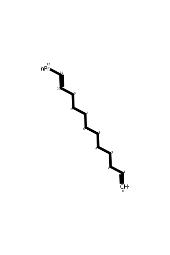 [CH]=CCCCCCCCCC=CCCC